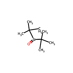 CC(C)(C)[Si](=O)C(C)(C)C